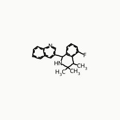 CC1c2c(F)cccc2C(c2cnc3ccccc3c2)NC1(C)C